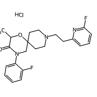 CC1OC2(CCN(CCc3cccc(F)n3)CC2)CN(c2ccccc2F)C1=O.Cl